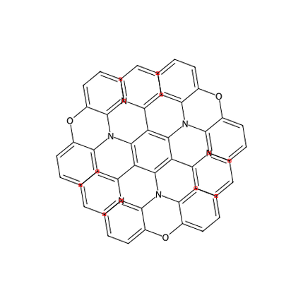 c1ccc(-c2c(N3c4ccccc4Oc4ccccc43)c(-c3ccccn3)c(N3c4ccccc4Oc4ccccc43)c(-c3ccccn3)c2N2c3ccccc3Oc3ccccc32)nc1